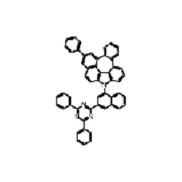 c1ccc(-c2cc3c4c(ccc5c4c4c(cccc4n5-c4cc(-c5nc(-c6ccccc6)nc(-c6ccccc6)n5)cc5ccccc45)-c4ccccc4-3)c2)cc1